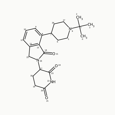 CC(C)(C)N1CCC(c2cccc3c2C(=O)N(C2CCC(=O)NC2=O)C3)CC1